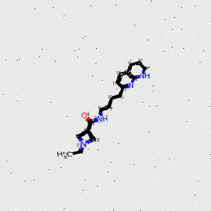 CCN1CC(C(=O)NCCCCc2ccc3c(n2)NCCC3)C1